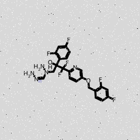 N/N=C\N(N)CC(O)(c1ccc(F)cc1F)C(F)(F)c1ccc(OCc2ccc(F)cc2F)cn1